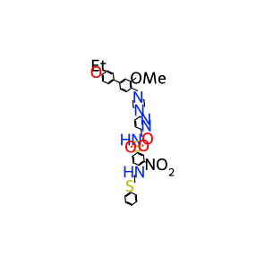 CCOc1ccc(-c2ccc(CN3CCN(c4ccc(C(=O)NS(=O)(=O)c5ccc(NCCSc6ccccc6)c([N+](=O)[O-])c5)nn4)CC3)c(OC)c2)cc1